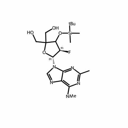 CNc1nc(C)nc2c1ncn2[C@@H]1OC(CO)(CO)C(O[Si](C)(C)C(C)(C)C)[C@H]1F